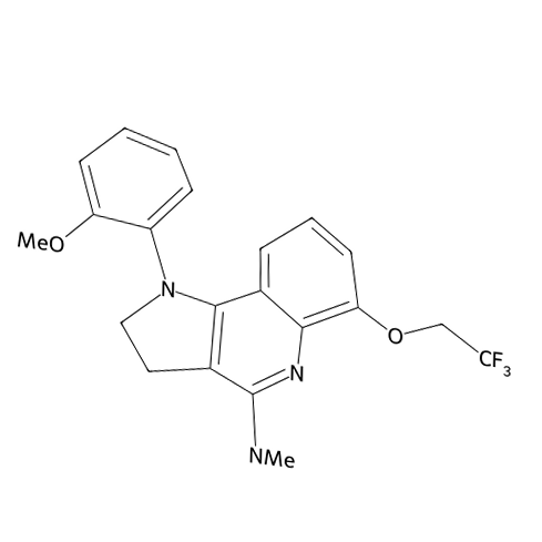 CNc1nc2c(OCC(F)(F)F)cccc2c2c1CCN2c1ccccc1OC